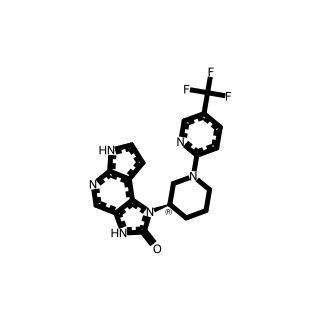 O=c1[nH]c2cnc3[nH]ccc3c2n1[C@@H]1CCCN(c2ccc(C(F)(F)F)cn2)C1